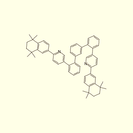 CC1(C)CCC(C)(C)c2cc(-c3ccc(-c4ccccc4-c4cccc(-c5ccccc5-c5ccc(-c6ccc7c(c6)C(C)(C)CCC7(C)C)nc5)c4)cn3)ccc21